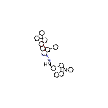 C1=CC(c2ccc(\C=C/C(=C\C=C\Nc3cccc(-c4cccc5c4c4c6ccccc6ccc4n5-c4ccccc4)c3)c3cc(-c4ccccc4)cc(-c4ccccc4)c3)cc2)=CC(c2ccccc2)(c2ccccc2)C1